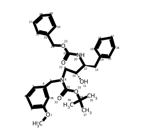 COc1cccc(CN(C[C@@H](O)[C@H](Cc2ccccc2)NC(=O)OCc2ccccc2)C(=O)OC(C)(C)C)c1